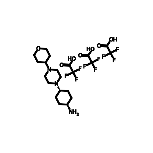 N[C@H]1CC[C@H](N2CCN(C3CCOCC3)CC2)CC1.O=C(O)C(F)(F)F.O=C(O)C(F)(F)F.O=C(O)C(F)(F)F